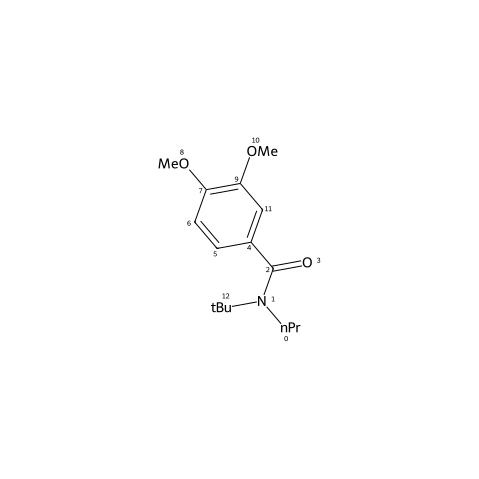 CCCN(C(=O)c1ccc(OC)c(OC)c1)C(C)(C)C